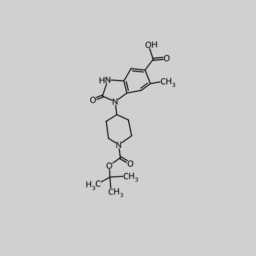 Cc1cc2c(cc1C(=O)O)[nH]c(=O)n2C1CCN(C(=O)OC(C)(C)C)CC1